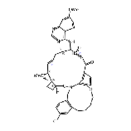 COc1ccc2c(NC3[C@@H](C)C/C=C/[C@H](OC)[C@@H]4CC[C@H]4CN4Cc5ccc(Cl)cc5CCCCOc5ccc(cc54)C(=O)/N=[SH]\3=O)ncnc2c1